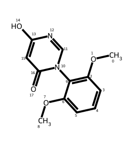 COc1cccc(OC)c1-n1cnc(O)cc1=O